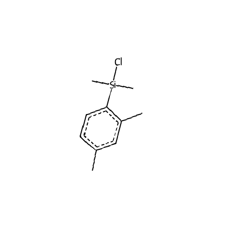 Cc1ccc([Si](C)(C)Cl)c(C)c1